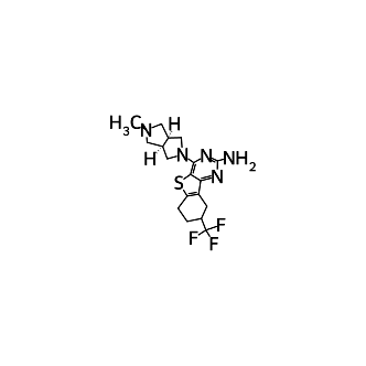 CN1C[C@@H]2CN(c3nc(N)nc4c5c(sc34)CCC(C(F)(F)F)C5)C[C@@H]2C1